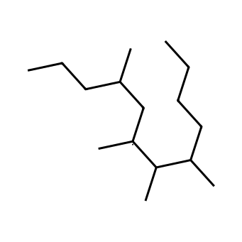 CCCCC(C)C(C)[C](C)CC(C)CCC